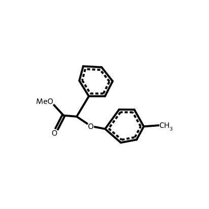 COC(=O)C(Oc1ccc(C)cc1)c1ccccc1